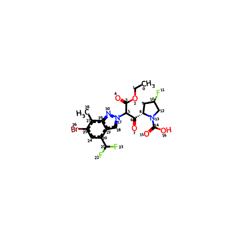 CCOC(=O)C(C(=O)[C@@H]1C[C@@H](F)CN1C(=O)O)n1cc2c(C(F)F)cc(Br)c(C)c2n1